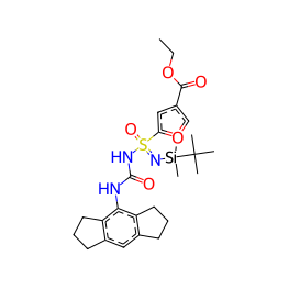 CCOC(=O)c1coc(S(=O)(=N[Si](C)(C)C(C)(C)C)NC(=O)Nc2c3c(cc4c2CCC4)CCC3)c1